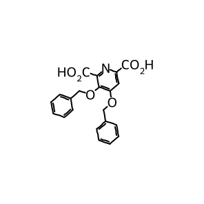 O=C(O)c1cc(OCc2ccccc2)c(OCc2ccccc2)c(C(=O)O)n1